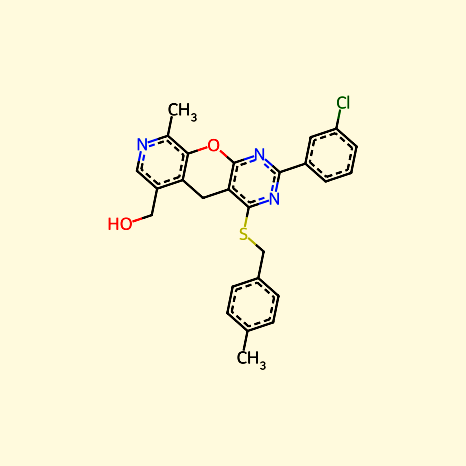 Cc1ccc(CSc2nc(-c3cccc(Cl)c3)nc3c2Cc2c(CO)cnc(C)c2O3)cc1